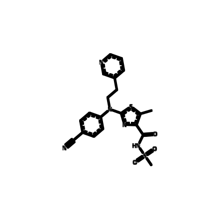 Cc1sc(N(CCc2cccnc2)c2ccc(C#N)cc2)nc1C(=O)NS(C)(=O)=O